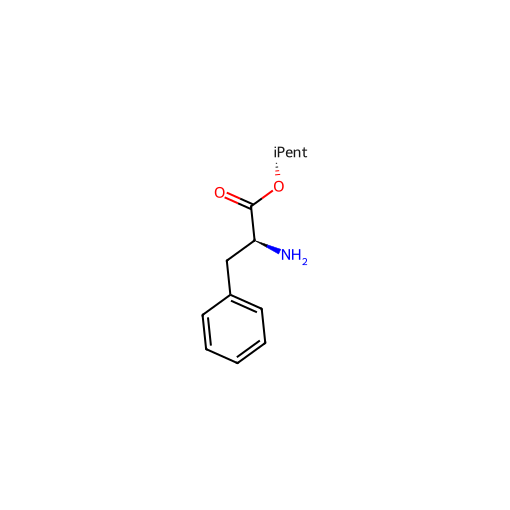 CCC[C@@H](C)OC(=O)[C@@H](N)Cc1ccccc1